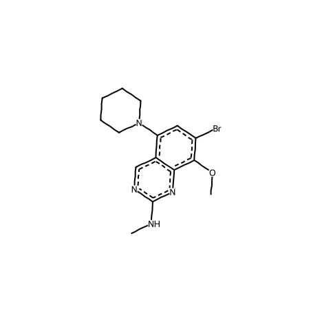 CNc1ncc2c(N3CCCCC3)cc(Br)c(OC)c2n1